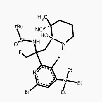 CC[Si](CC)(CC)c1cc(Br)nc(C(CF)(CS2(O)NCCC[C@@]2(C)C#N)N[S+]([O-])C(C)(C)C)c1F